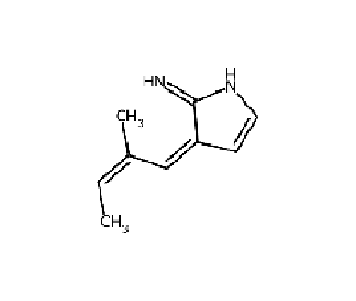 C/C=C(C)\C=C1\C=CNC1=N